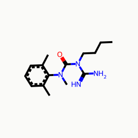 CCCCN(C(=N)N)C(=O)N(C)c1c(C)cccc1C